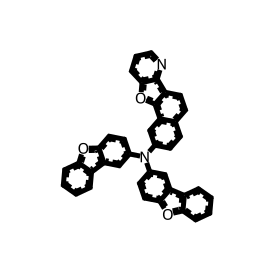 c1ccc2c(c1)oc1ccc(N(c3ccc4oc5ccccc5c4c3)c3ccc4ccc5c6ncccc6oc5c4c3)cc12